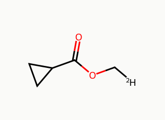 [2H]COC(=O)C1CC1